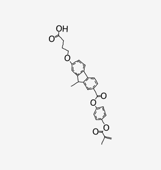 C=C(C)C(=O)Oc1ccc(OC(=O)c2ccc3c(c2)C(C)c2cc(OCCCC(=O)O)ccc2-3)cc1